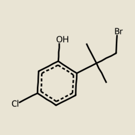 CC(C)(CBr)c1ccc(Cl)cc1O